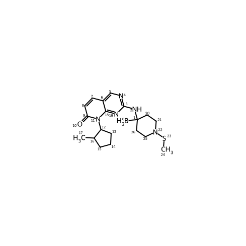 BC1(Nc2ncc3ccc(=O)n(C4CCCC4C)c3n2)CCN(SC)CC1